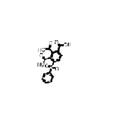 O=C(O)c1ccc(S(=O)(=O)c2ccccc2)c(C(=O)O)c1C(=O)O